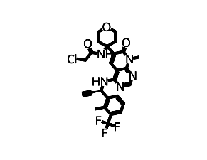 C#C[C@@H](Nc1ncnc2c1cc(C1(NC(=O)CCl)CCOCC1)c(=O)n2C)c1cccc(C(F)(F)F)c1C